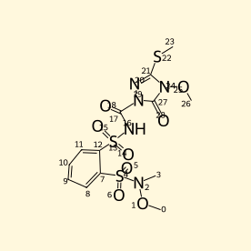 CON(C)S(=O)(=O)c1ccccc1S(=O)(=O)NC(=O)n1nc(SC)n(OC)c1=O